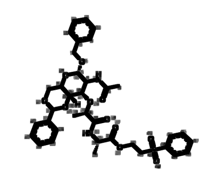 CC(=O)NC1[C@@H](OCc2ccccc2)OC2COC(c3ccccc3)O[C@H]2[C@@H]1O[C@H](C)C(=O)N[C@@H](C)C(=O)OCCS(=O)(=O)c1ccccc1